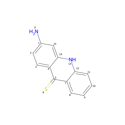 Nc1ccc2c(=S)c3ccccc3[nH]c2c1